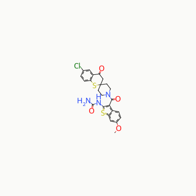 COc1ccc2c(C(=O)N3CCC4(CC3)CC(=O)c3cc(Cl)ccc3S4)c(NC(N)=O)sc2c1